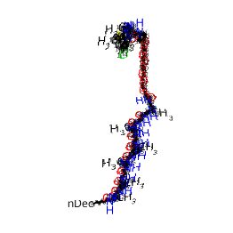 CCCCCCCCCCCCCCCC(=O)Nc1cn(C)c(C(=O)Nc2cc(C(=O)NCCC(=O)Nc3cn(C)c(C(=O)Nc4cc(C(=O)NCCC(=O)Nc5cn(C)c(C(=O)NCCC(=O)NCCCN(C)CCCNC(=O)CCOCCOCCOCCOCCOCCOc6ccc(NC(=O)C[C@@H]7N=C(c8ccc(Cl)cc8)c8c(sc(C)c8C)-n8c(C)nnc87)cc6)n5)n(C)c4)n3)n(C)c2)n1